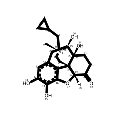 C[N@+]1(CC2CC2)CC[C@]23c4c5cc(O)c(O)c4O[C@H]2C(=O)CC[C@@]3(O)[C@@]1(O)C5